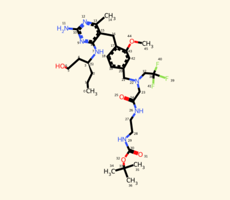 CCC[C@@H](CCO)Nc1nc(N)nc(C)c1Cc1ccc(CN(CC(=O)NCCNC(=O)OC(C)(C)C)CC(F)(F)F)cc1OC